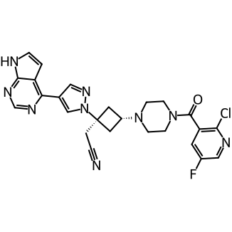 N#CC[C@]1(n2cc(-c3ncnc4[nH]ccc34)cn2)C[C@H](N2CCN(C(=O)c3cc(F)cnc3Cl)CC2)C1